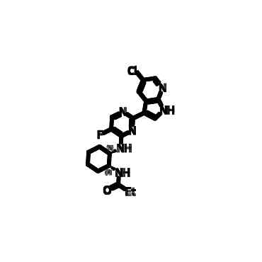 CCC(=O)N[C@@H]1CCCC[C@@H]1Nc1nc(-c2c[nH]c3ncc(Cl)cc23)ncc1F